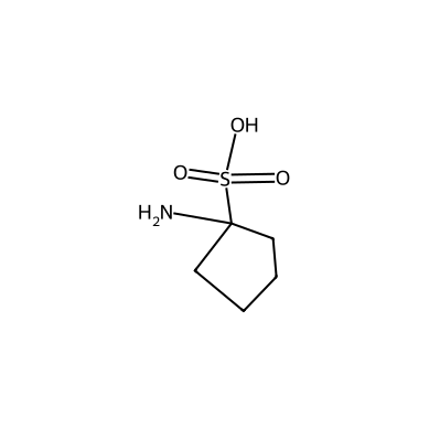 NC1(S(=O)(=O)O)CCCC1